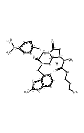 CCCCNC(=O)N(C)N1CC(=O)N2[C@@H](Cc3ccc(N(C)C)cc3)C(=O)N(Cc3cccc4sc(N)nc34)C[C@@H]21